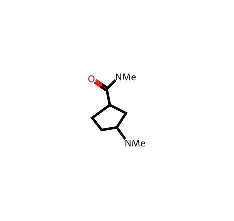 CNC(=O)C1CCC(NC)C1